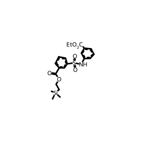 CCOC(=O)c1cccc(NS(=O)(=O)c2cccc(C(=O)OCC[Si](C)(C)C)c2)c1